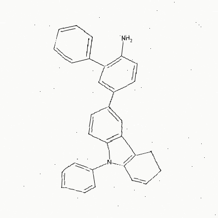 Nc1ccc(-c2ccc3c(c2)c2c(n3-c3ccccc3)C=CCC2)cc1-c1ccccc1